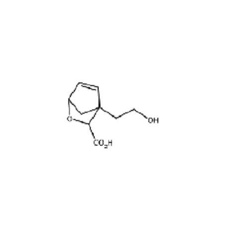 O=C(O)C1OC2C=CC1(CCO)C2